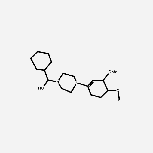 CCOC1CCC(N2CCN(C(O)C3CCCCC3)CC2)=CC1OC